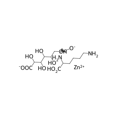 CC(=O)[O-].NCCCCC(N)C(=O)O.O=C([O-])C(O)C(O)C(O)C(O)CO.[Zn+2]